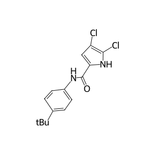 CC(C)(C)c1ccc(NC(=O)c2cc(Cl)c(Cl)[nH]2)cc1